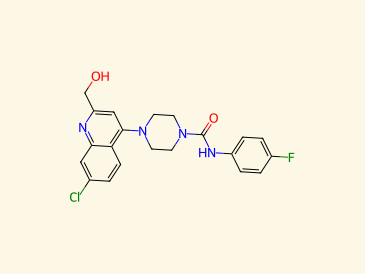 O=C(Nc1ccc(F)cc1)N1CCN(c2cc(CO)nc3cc(Cl)ccc23)CC1